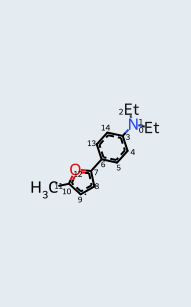 CCN(CC)c1ccc(-c2c[c]c(C)o2)cc1